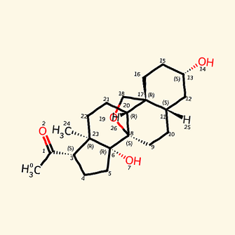 CC(=O)[C@H]1CC[C@]2(O)[C@@]34CC[C@H]5C[C@@H](O)CC[C@]5(CO3)[C@H]4CC[C@]12C